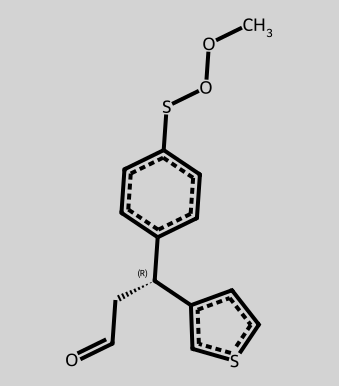 COOSc1ccc([C@@H](CC=O)c2ccsc2)cc1